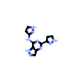 c1cc(Nc2nc(-c3cc[nH]n3)nc3cn[nH]c23)n[nH]1